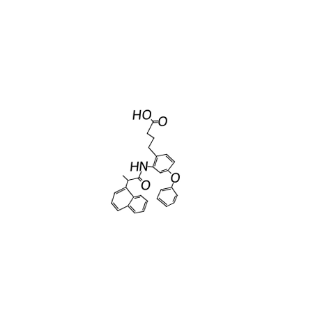 CC(C(=O)Nc1cc(Oc2ccccc2)ccc1CCCC(=O)O)c1cccc2ccccc12